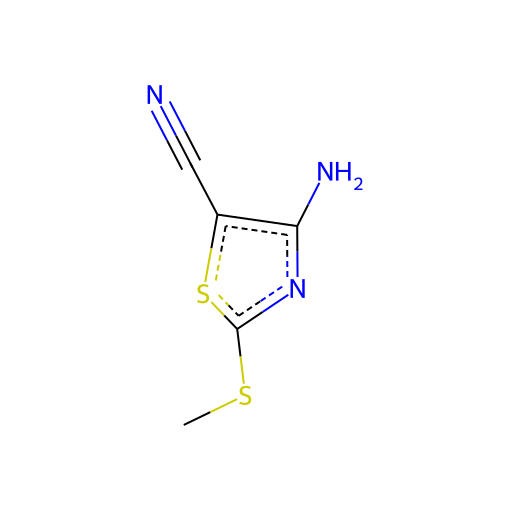 CSc1nc(N)c(C#N)s1